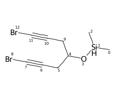 C[SiH](C)OC(CC#CBr)CC#CBr